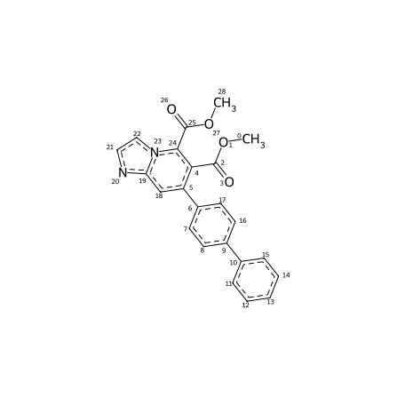 COC(=O)c1c(-c2ccc(-c3ccccc3)cc2)cc2nccn2c1C(=O)OC